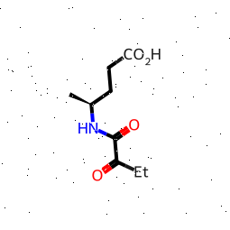 CCC(=O)C(=O)N[C@@H](C)CCC(=O)O